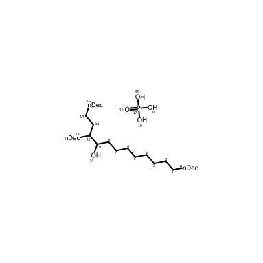 CCCCCCCCCCCCCCCCCCC(O)C(CCCCCCCCCC)CCCCCCCCCCCC.O=P(O)(O)O